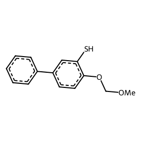 COCOc1ccc(-c2ccccc2)cc1S